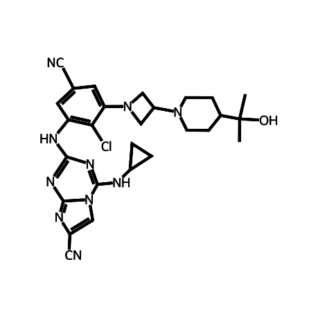 CC(C)(O)C1CCN(C2CN(c3cc(C#N)cc(Nc4nc(NC5CC5)n5cc(C#N)nc5n4)c3Cl)C2)CC1